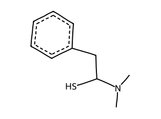 CN(C)C(S)Cc1ccccc1